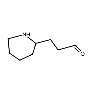 O=[C]CCC1CCCCN1